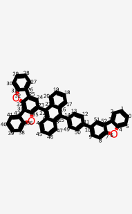 c1ccc2c(c1)oc1ccc(-c3ccc(-c4c5ccccc5c(-c5cc6c7ccccc7oc6c6c5oc5ccccc56)c5ccccc45)cc3)cc12